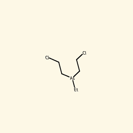 CC[As](CCCl)CCCl